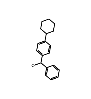 ClC(c1ccccc1)c1ccc(C2CCCCC2)cc1